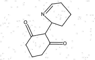 O=C1CCCC(=O)C1C1CCCC=N1